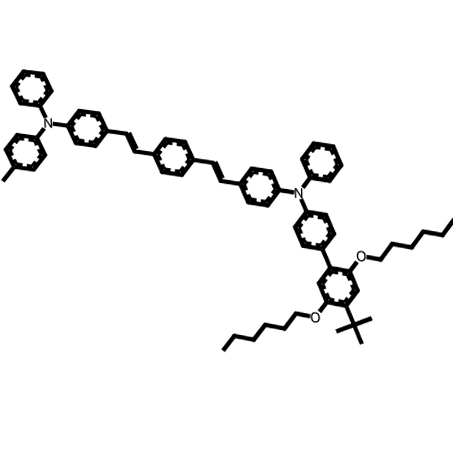 CCCCCCOc1cc(C(C)(C)C)c(OCCCCCC)cc1-c1ccc(N(c2ccccc2)c2ccc(C=Cc3ccc(C=Cc4ccc(N(c5ccccc5)c5ccc(C)cc5)cc4)cc3)cc2)cc1